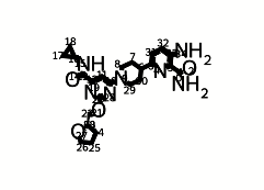 NC(=O)c1nc(C2CCN(c3cc(C(=O)NC4CC4)nc(OC[C@H]4CCCO4)n3)CC2)ccc1N